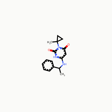 CC(Nc1cc(=O)n(C2(C)CC2)c(=O)[nH]1)c1ccccc1